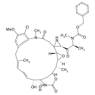 COc1cc2cc(c1Cl)N(C)C(=O)CC1(N[C@H]1C(=O)[C@H](C)N(C)C(=O)OCc1ccccc1)[C@@H]1O[C@H]1[C@H](C)[C@@H]1C[C@@](O)(NC(=O)O1)[C@H](O)/C=C/C=C(\C)C2